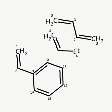 C=CC=C.C=CCC.C=Cc1ccccc1